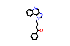 O=C(CCCn1cnc2cnc3ccccc3c21)c1ccccc1